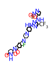 CN(Cc1cc2c(cc1F)C(=O)N(C1CCC(=O)NC1=O)C2)C1CCN(c2ccc(Nc3ncc(C(F)(F)F)c(NCc4cccnc4N(C)S(C)(=O)=O)n3)cc2)CC1